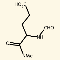 CNC(=O)C(CCC(=O)O)NC=O